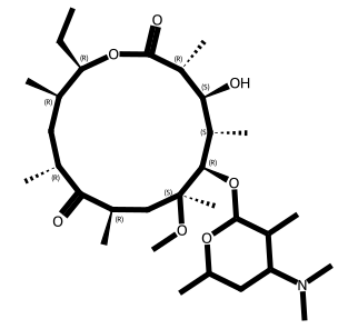 CC[C@H]1OC(=O)[C@H](C)[C@@H](O)[C@H](C)[C@@H](OC2OC(C)CC(N(C)C)C2C)[C@@](C)(OC)C[C@@H](C)C(=O)[C@H](C)C[C@H]1C